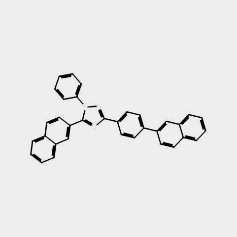 c1ccc(-n2nc(-c3ccc(-c4ccc5ccccc5c4)cc3)nc2-c2ccc3ccccc3c2)cc1